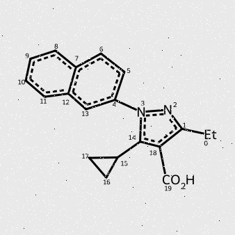 CCc1nn(-c2ccc3ccccc3c2)c(C2CC2)c1C(=O)O